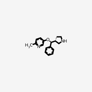 Cc1ccc(O[C@H](c2ccccc2)[C@@H]2CCNC2)cn1